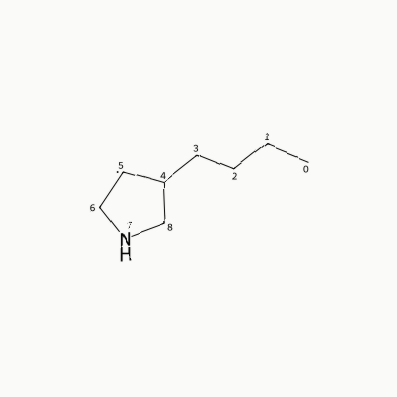 CCCCC1[CH]CNC1